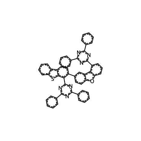 c1ccc(-c2nc(-c3ccccc3)nc(-c3c(-c4ccc5oc6cccc(-c7nc(-c8ccccc8)nc(-c8ccccc8)n7)c6c5c4)ccc4c3sc3ccccc34)n2)cc1